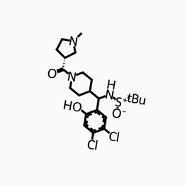 CN1CC[C@@H](C(=O)N2CCC(C(N[S+]([O-])C(C)(C)C)c3cc(Cl)c(Cl)cc3O)CC2)C1